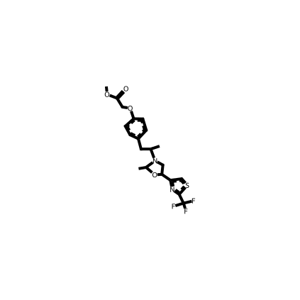 COC(=O)COc1ccc(CC(C)N2CC(c3csc(C(F)(F)F)n3)OC2C)cc1